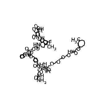 CC[C@@]1(O)C(=O)OCc2c1cc1n(c2=O)Cc2c-1nc1cc(F)c(C)c3c1c2[C@@H](NC(=O)COCNC(=O)[C@H](Cc1ccccc1)NC(=O)OCc1ccc(NC(=O)[C@H](CCCNC(N)=O)NC(=O)[C@@H](NC(=O)CCOCCOCCOCCOCCNC(=O)COC2/C=C\C(C)CCCCC2)C(C)C)cc1)CC3